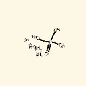 B.O=P(O)(O)O.[MgH2].[Zn]